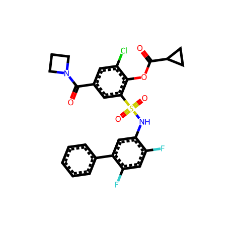 O=C(Oc1c(Cl)cc(C(=O)N2CCC2)cc1S(=O)(=O)Nc1cc(-c2ccccc2)c(F)cc1F)C1CC1